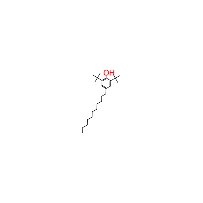 CCCCCCCCCCCc1cc(C(C)(C)C)c(O)c(C(C)(C)C)c1